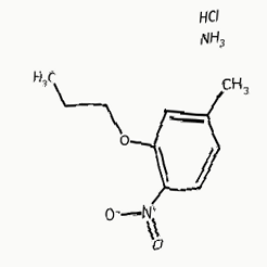 CCCOc1cc(C)ccc1[N+](=O)[O-].Cl.N